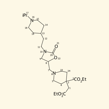 CCOC(=O)CC1(C(=O)OCC)CCN(CC2CN(CCC3CCN(C(C)C)CC3)C(=O)O2)CC1